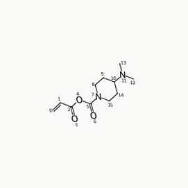 C=CC(=O)OC(=O)N1CCC(N(C)C)CC1